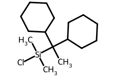 CC(C1CCCCC1)(C1CCCCC1)[Si](C)(C)Cl